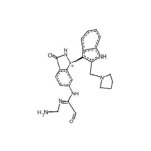 NCN=C(C=O)Nc1ccc2c(c1)[C@H](c1c(CN3CCCC3)[nH]c3ccccc13)NC2=O